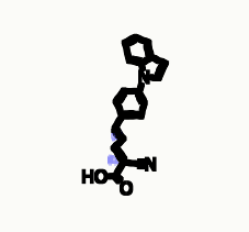 N#C/C(=C\C=C\c1ccc(-n2ccc3ccccc32)cc1)C(=O)O